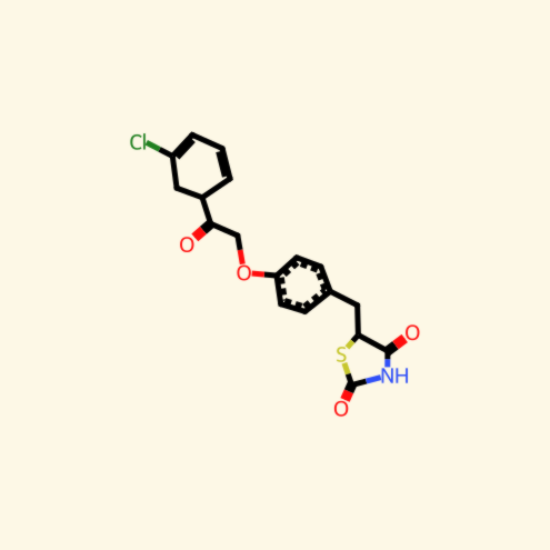 O=C1NC(=O)C(Cc2ccc(OCC(=O)C3C=CC=C(Cl)C3)cc2)S1